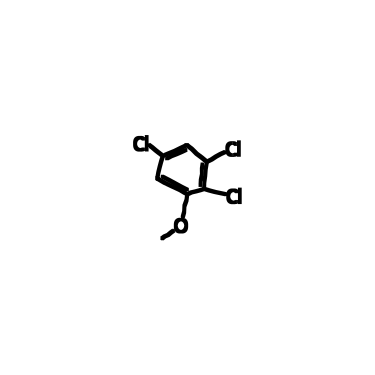 COc1cc(Cl)cc(Cl)c1Cl